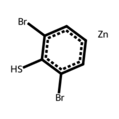 Sc1c(Br)cccc1Br.[Zn]